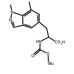 Cc1cc(CC(NC(=O)OC(C)(C)C)C(=O)O)cc2cnn(C)c12